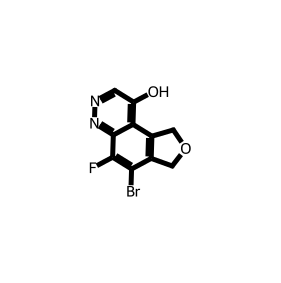 Oc1cnnc2c(F)c(Br)c3c(c12)COC3